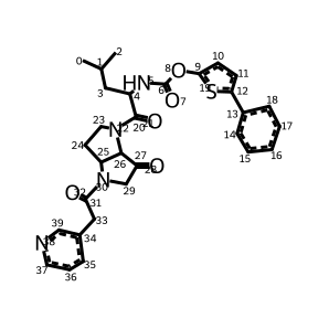 CC(C)CC(NC(=O)Oc1ccc(-c2ccccc2)s1)C(=O)N1CCC2C1C(=O)CN2C(=O)Cc1cccnc1